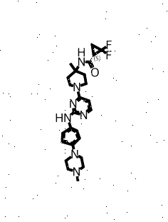 CN1CCN(c2ccc(Nc3nccc(N4CCC(C)(NC(=O)[C@@H]5CC5(F)F)CC4)n3)cc2)CC1